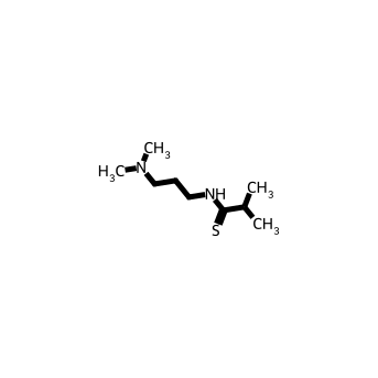 CC(C)C(=S)NCCCN(C)C